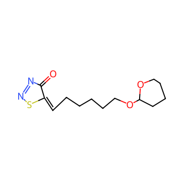 O=C1N=NSC1=CCCCCCOC1CCCCO1